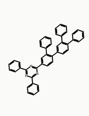 c1ccc(-c2nc(-c3ccccc3)nc(-c3ccc(-c4ccc(-c5ccccc5)c(-c5ccccc5)c4)c(-c4ccccc4)c3)n2)cc1